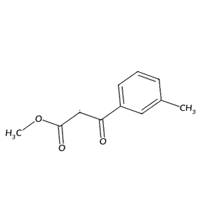 COC(=O)[CH]C(=O)c1cccc(C)c1